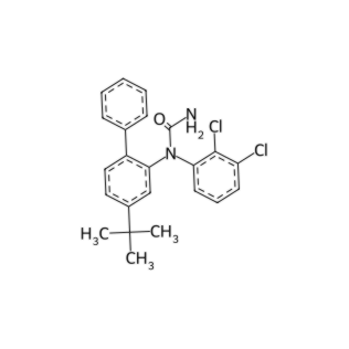 CC(C)(C)c1ccc(-c2ccccc2)c(N(C(N)=O)c2cccc(Cl)c2Cl)c1